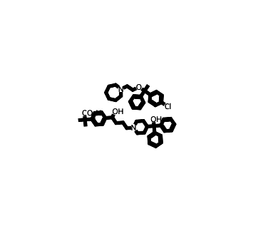 CC(C)(C(=O)O)c1ccc(C(O)CCCN2CCC(C(O)(c3ccccc3)c3ccccc3)CC2)cc1.CC(OCCN1CCCCCC1)(c1ccccc1)c1ccc(Cl)cc1